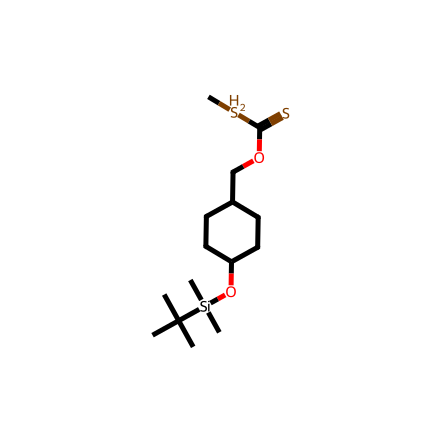 C[SH2]C(=S)OCC1CCC(O[Si](C)(C)C(C)(C)C)CC1